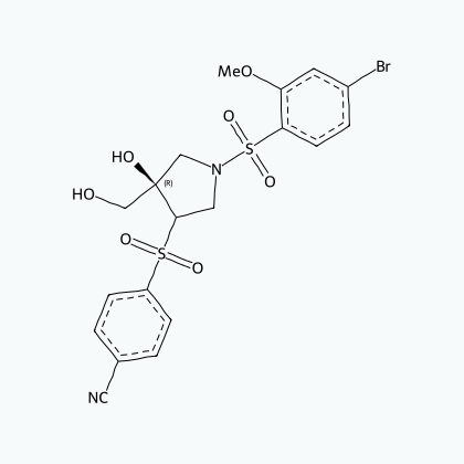 COc1cc(Br)ccc1S(=O)(=O)N1CC(S(=O)(=O)c2ccc(C#N)cc2)[C@](O)(CO)C1